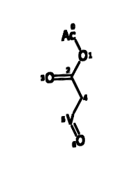 CC(=O)OC(=O)[CH2][V]=[O]